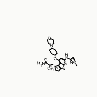 Cn1ccc(Nc2cc(O[C@H]3CC[C@H](N4CCOCC4)CC3)c3c4c(sc3n2)CC[C@@H]4C[C@H](O)C(N)=O)n1